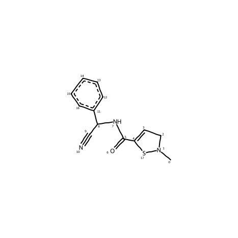 CN1CC=C(C(=O)NC(C#N)c2ccccc2)S1